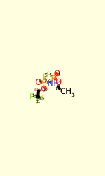 CCOP(=O)(F)NP(=O)(F)OCC(F)(F)F